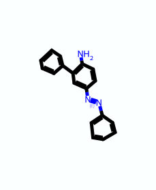 Nc1ccc(/N=N/c2ccccc2)cc1-c1ccccc1